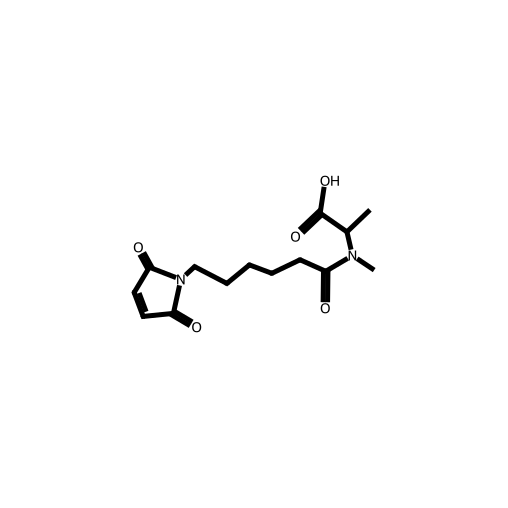 CC(C(=O)O)N(C)C(=O)CCCCCN1C(=O)C=CC1=O